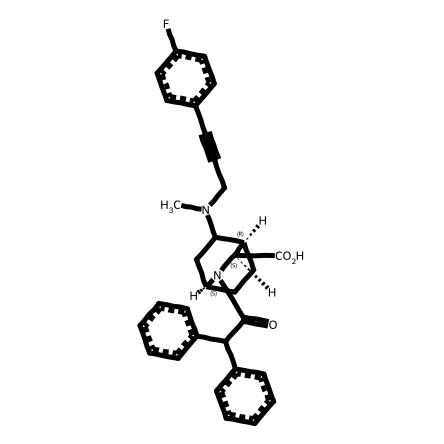 CN(CC#Cc1ccc(F)cc1)C1C[C@@H]2CC[C@H]1[C@@H](C(=O)O)N2C(=O)C(c1ccccc1)c1ccccc1